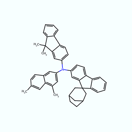 Cc1ccc2cc(N(c3ccc4c(c3)C(C)(C)c3ccccc3-4)c3ccc4c(c3)C3(CC5CCC(C5)C3)c3ccccc3-4)cc(C)c2c1